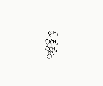 CO[C@H]1CC[C@@]2(C)C(=CCC3C2CC[C@]2(C)C(N4C=NC5CC=CC=C54)=CCC32)C1